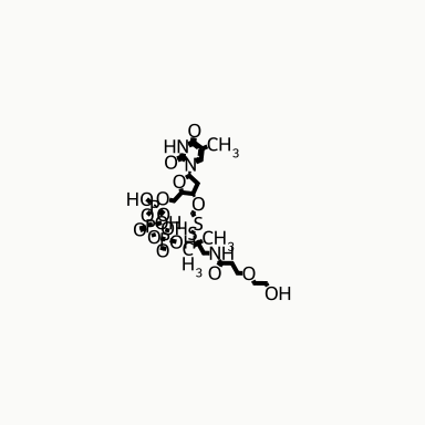 Cc1cn([C@H]2C[C@@H](OCSSC(C)(C)CNC(=O)CCOCCO)C(COP(=O)(O)OP(=O)(O)OP(=O)(O)O)O2)c(=O)[nH]c1=O